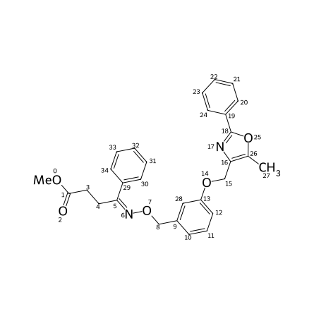 COC(=O)CCC(=NOCc1cccc(OCc2nc(-c3ccccc3)oc2C)c1)c1ccccc1